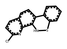 Clc1ccc2ccc3c(c2n1)NSc1ccccc1-3